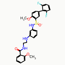 COc1ccccc1C(=O)NCCNc1cccc(N[S+]([O-])c2cc(-c3c(F)cccc3F)ccc2OC)c1